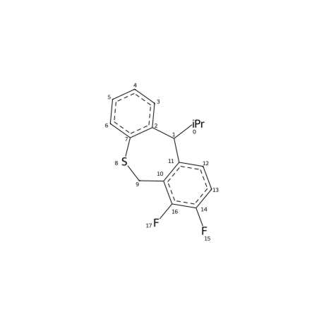 CC(C)C1c2ccccc2SCc2c1ccc(F)c2F